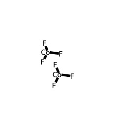 [F][Co]([F])[F].[F][Co]([F])[F]